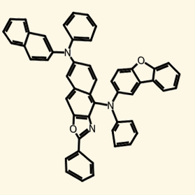 c1ccc(-c2nc3c(N(c4ccccc4)c4ccc5oc6ccccc6c5c4)c4ccc(N(c5ccccc5)c5ccc6ccccc6c5)cc4cc3o2)cc1